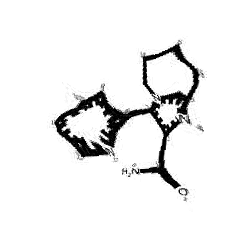 NC(=O)c1nc2n(c1-c1ccccn1)CCC2